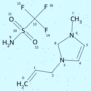 C=CCN1C=CN(C)C1.NS(=O)(=O)C(F)(F)F